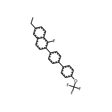 CCc1ccc2c(F)c(-c3ccc(-c4ccc(OC(F)(F)F)cc4)cc3)ccc2c1